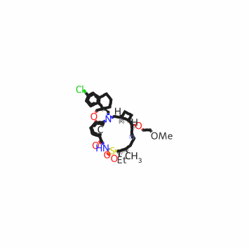 CC[C@@H]1[C@@H](C)C/C=C/[C@H](OCCOC)[C@@H]2CC[C@H]2CN2C[C@@]3(CCCc4cc(Cl)ccc43)COc3ccc(cc32)C(=O)NS1(=O)=O